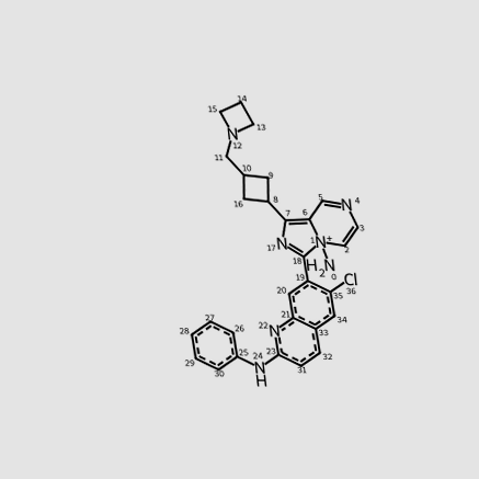 N[N+]12C=CN=CC1=C(C1CC(CN3CCC3)C1)N=C2c1cc2nc(Nc3ccccc3)ccc2cc1Cl